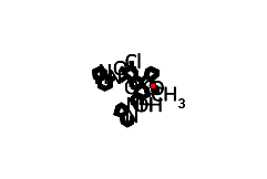 COC(=O)c1ccccc1-c1c2cc(Cl)c(=O)c(CNc3cccc4cccnc34)c-2oc2c(CNc3cccc4cccnc34)c(O)ccc12